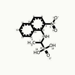 CC(Nc1c([N+](=O)[O-])ccc2ccccc12)P(=O)(O)O